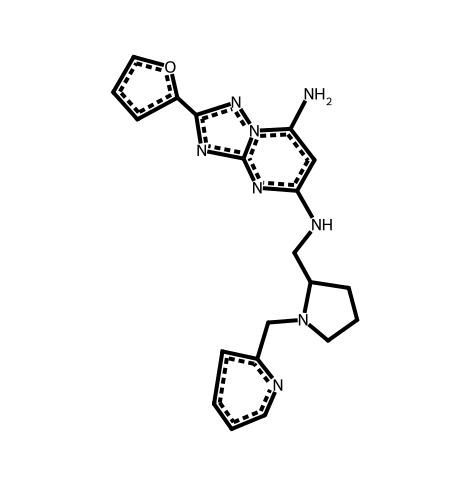 Nc1cc(NCC2CCCN2Cc2ccccn2)nc2nc(-c3ccco3)nn12